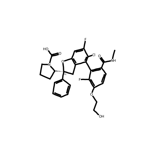 CNC(=O)c1ccc(OCCO)c(F)c1-c1c(Cl)c(F)cc2c1C[C@](c1ccccc1)(C1CCCN1C(=O)O)O2